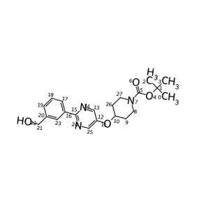 CC(C)(C)OC(=O)N1CCC(Oc2cnc(-c3cccc(CO)c3)nc2)CC1